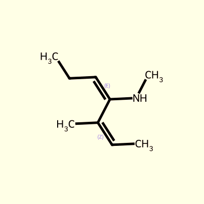 C/C=C(C)\C(=C/CC)NC